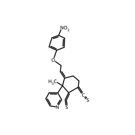 CC1(c2cccnc2)C(=C=S)C(=C=S)CCC1=CCOc1ccc([N+](=O)[O-])cc1